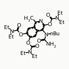 CCCCN(C(N)=O)c1c(OC(=O)N(CC)CC)nc(C)c2cc(OC(=O)N(CC)CC)c(OC(=O)N(CC)CC)cc12